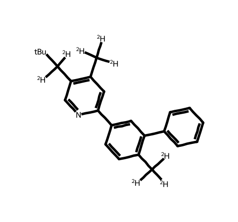 [2H]C([2H])([2H])c1ccc(-c2cc(C([2H])([2H])[2H])c(C([2H])([2H])C(C)(C)C)cn2)cc1-c1ccccc1